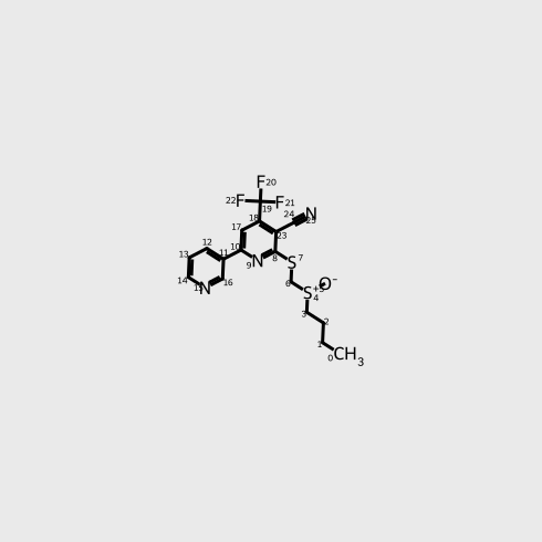 CCCC[S+]([O-])CSc1nc(-c2cccnc2)cc(C(F)(F)F)c1C#N